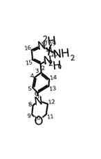 [2H]N1C(c2ccc(N3CCOCC3)cc2)=CC=NC1([2H])N